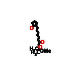 COC(C)(C)OCC(=O)CCCCCCC1=CCCC1=O